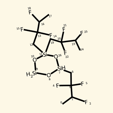 CC(F)C(F)(F)C[SiH]1O[SiH2]O[Si](CC(F)(F)C(C)F)(CC(F)(F)C(C)F)O1